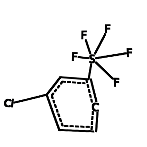 FS(F)(F)(F)(F)c1cccc(Cl)c1